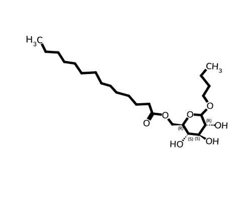 CCCCCCCCCCCCCC(=O)OC[C@H]1OC(OCCCC)[C@H](O)[C@@H](O)[C@@H]1O